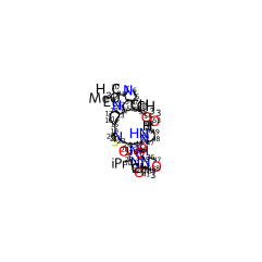 CCn1c(-c2cccnc2[C@H](C)OC)c2c3cc(ccc31)-c1csc(n1)C[C@H](NC(=O)C(C(C)C)N(C)C(=O)N1CCOCC13COC3)C(=O)N1CCC[C@H](N1)C(=O)OCC(C)(C)C2